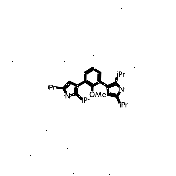 COc1c(C2=C(C(C)C)[N]C(C(C)C)=C2)cccc1C1=C(C(C)C)[N]C(C(C)C)=C1